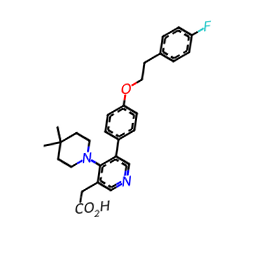 CC1(C)CCN(c2c(CC(=O)O)cncc2-c2ccc(OCCc3ccc(F)cc3)cc2)CC1